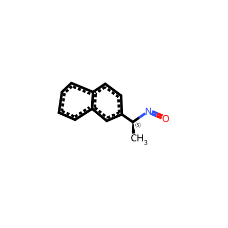 C[C@H](N=O)c1ccc2ccccc2c1